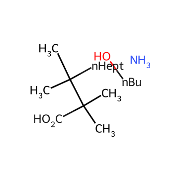 CCCCCCCC(C)(C)C(C)(C)C(=O)O.CCCCO.N